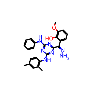 COc1cccc(C(=NN)c2nc(Nc3ccccc3)nc(Nc3ccc(C)cc3C)n2)c1O